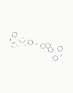 CC1(C)C2=C(CCC(N3C4=C(C=CCC4)C=Cc4ccccc43)=C2)c2ccc(/C=C/c3ccc4c(ccc5cc(N6c7ccccc7C=Cc7ccccc76)ccc54)c3)cc21